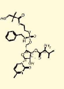 Cc1ccn([C@@H]2O[C@H](COP(=O)(NCc3ccccc3)OCCSC(=O)C(C)(C)CO)[C@@H](OC(=O)[C@@H](N)C(C)C)[C@@]2(C)O)c(=O)n1